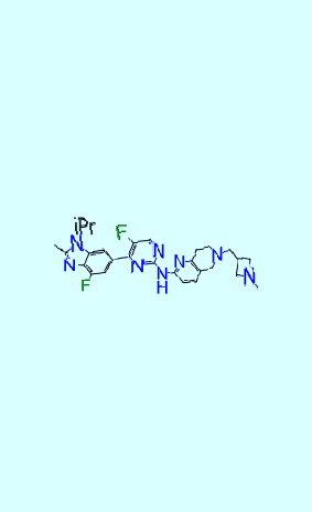 Cc1nc2c(F)cc(-c3nc(Nc4ccc5c(n4)CCN(CC4CN(C)C4)C5)ncc3F)cc2n1C(C)C